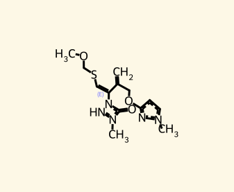 C=C(COc1ccn(C)n1)/C(=C\SCOC)n1[nH]n(C)c1=O